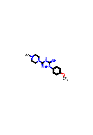 CC(=O)N1CCN(C(=N)NC(=N)Nc2ccc(OC(F)(F)F)cc2)CC1